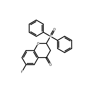 O=C1CC(P(=O)(c2ccccc2)c2ccccc2)Oc2ccc(F)cc21